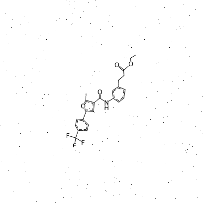 CCOC(=O)CCc1cccc(NC(=O)c2cc(-c3ccc(C(F)(F)F)cc3)oc2C)c1